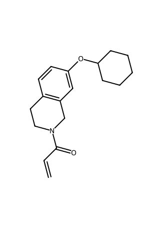 C=CC(=O)N1CCc2ccc(OC3CCCCC3)cc2C1